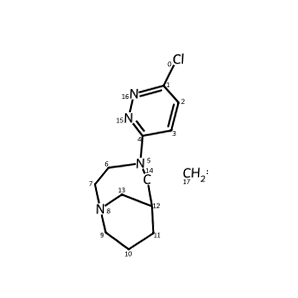 Clc1ccc(N2CCN3CCCC(C3)C2)nn1.[CH2]